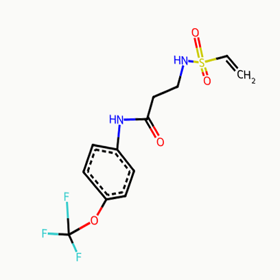 C=CS(=O)(=O)NCCC(=O)Nc1ccc(OC(F)(F)F)cc1